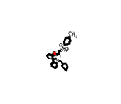 C=C1CCC[C@@]12c1ccccc1N(CC1CCCCC1)[C@H]2CCCNS(=O)(=O)c1ccc(C)cc1